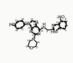 O=[N+]([O-])c1cccc2[nH]c(CNc3nc(N4CCOCC4)nc4c3ncn4-c3ccc(F)cc3)nc12